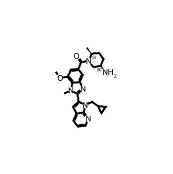 COc1cc(C(=O)N2C[C@H](N)CC[C@@H]2C)cc2nc(-c3cc4cccnc4n3CC3CC3)n(C)c12